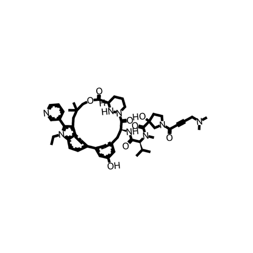 CCn1c(-c2cccnc2)c2c3cc(ccc31)-c1cc(O)cc(c1)C[C@H](NC(=O)[C@H](C(C)C)N(C)C(=O)C1(O)CCN(C(=O)C#CCN(C)C)C1)C(=O)N1CCC[C@H](N1)C(=O)OCC(C)(C)C2